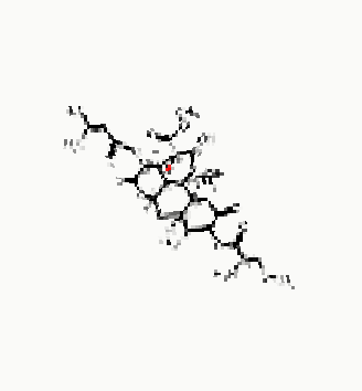 COC[C@H](N)C(=O)OC1=C(C)[C@@H]2C[C@H]3OC(=O)[C@H](OC(=O)C=C(C)C)[C@H]4[C@]5(C(=O)OC)OC[C@]34C([C@@H](O)[C@@H]5O)[C@@]2(C)CC1=O